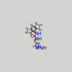 CC(C)n1cc(SNC(=O)Nc2c3c(cc4c2CCC4)CCC3)cn1